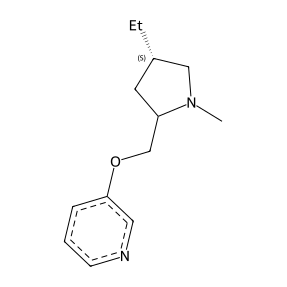 CC[C@H]1CC(COc2cccnc2)N(C)C1